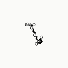 CC(C)(C)C(=O)OCCCOCCN1C(=O)C=CC1=O